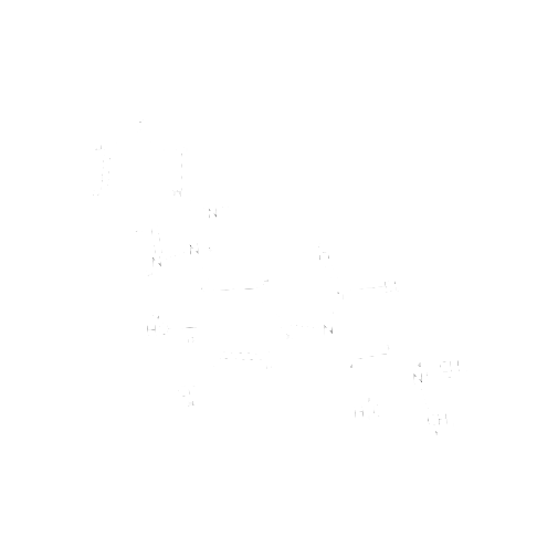 CCC(=O)N(CC[N+](C)(C)C)c1ccc(O)c(-n2nc3ccccc3n2)c1.[Cl-]